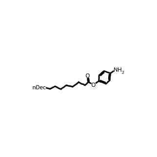 CCCCCCCCCCCCCCCCCC(=O)Oc1ccc(N)cc1